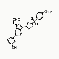 CC(C)Oc1ccc(S(=O)(=O)N2CCC(c3cn(CC=O)c4cc(-c5cccc(C#N)c5)ccc34)C2)cc1